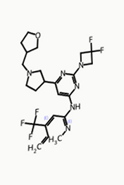 C=C/C(=C\C(=N/C)Nc1cc(C2CCN(CC3CCOC3)C2)nc(N2CC(F)(F)C2)n1)C(F)(F)F